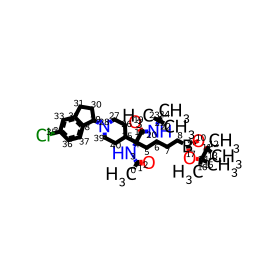 CC(=O)NC(CCCCB1OC(C)(C)C(C)(C)O1)(C(=O)NC(C)(C)C)C1CCN(C2CCc3cc(Cl)ccc32)CC1